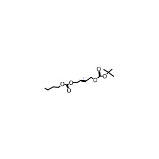 CCCCOC(=O)OC/C=C/COC(=O)OC(C)(C)C